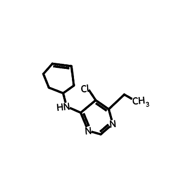 CCc1ncnc(NC2CC=CCC2)c1Cl